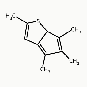 CC1=[C]C2=C(C)C(C)=C(C)C2S1